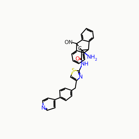 NC1(C(=O)Nc2nc(Cc3ccc(-c4ccncc4)cc3)cs2)CC2(N=O)c3ccccc3C1c1ccccc12